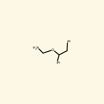 CC(C)CC(OCN)C(C)C